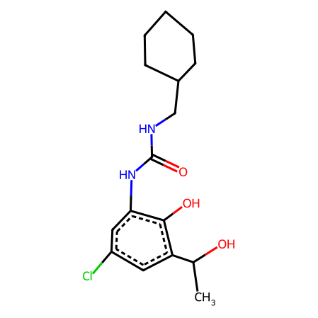 CC(O)c1cc(Cl)cc(NC(=O)NCC2CCCCC2)c1O